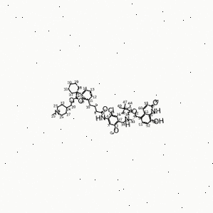 COc1cc(NC(=O)CCCc2cccc(C3(C(=O)OCC4CCN(C)CC4)CCCCC3)c2)c(Cl)cc1CNC[C@H](O[Si](C)(C)C(C)(C)C)c1ccc(O)c2[nH]c(=O)ccc12